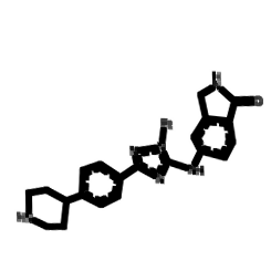 CCn1nc(-c2ccc(C3CCNCC3)cc2)nc1Nc1ccc2c(c1)CNC2=O